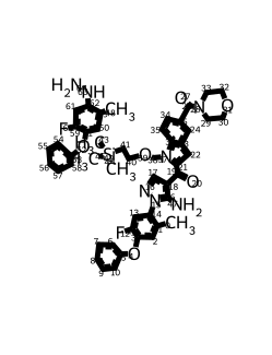 Cc1cc(Oc2ccccc2)c(F)cc1-n1ncc(C(=O)c2cc3cc(C(=O)N4CCOCC4)ccc3n2COCC[Si](C)(C)C)c1N.Cc1cc(Oc2ccccc2)c(F)cc1NN